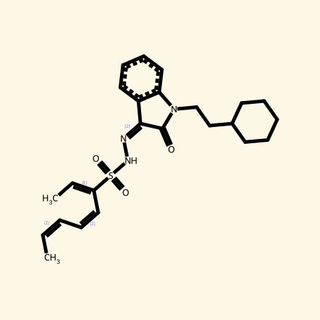 C\C=C/C=C\C(=C/C)S(=O)(=O)N/N=C1\C(=O)N(CCC2CCCCC2)c2ccccc21